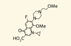 COCCN1CCN(c2c(F)cc3c(=O)c(C(=O)O)cn(C4CC4)c3c2OC)CC1